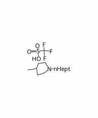 CCCCCCCN1CCC(C)CC1.O=S(=O)(O)C(F)(F)F